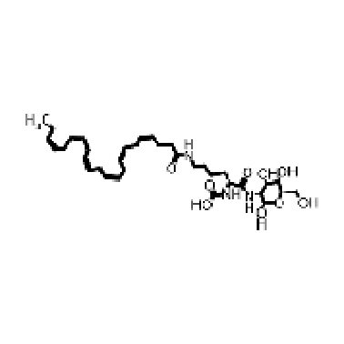 CC/C=C\C/C=C\C/C=C\C/C=C\C/C=C\C/C=C\CCC(=O)NCCCC[C@H](NC(=O)O)C(=O)N[C@@H]1[C@@H](O)[C@H](O)[C@@H](CO)O[C@H]1O